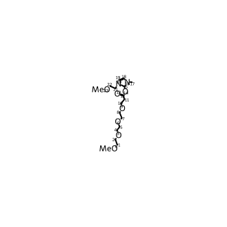 COCCOCCOCCOCCC(=O)OC1N(C)C=CN1CCOC